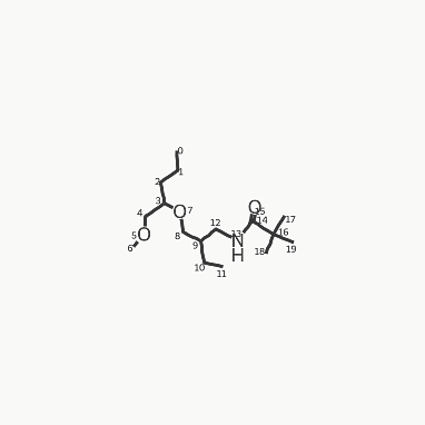 CCCC(COC)OCC(CC)CNC(=O)C(C)(C)C